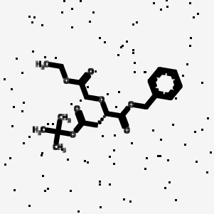 CCOC(=O)CO[C@@H](CC(=O)OC(C)(C)C)C(=O)OCc1ccccc1